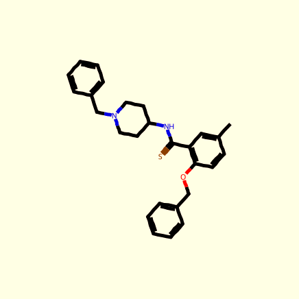 Cc1ccc(OCc2ccccc2)c(C(=S)NC2CCN(Cc3ccccc3)CC2)c1